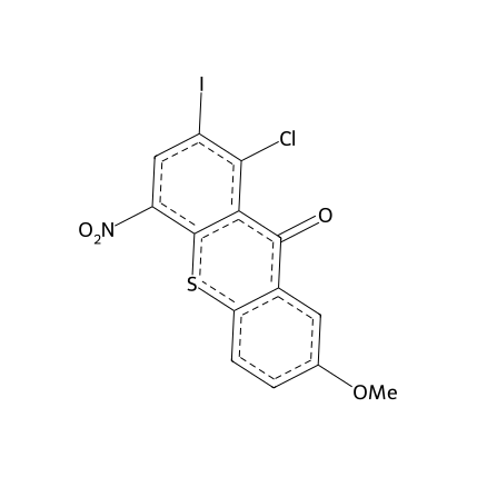 COc1ccc2sc3c([N+](=O)[O-])cc(I)c(Cl)c3c(=O)c2c1